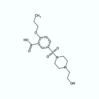 CCCOc1ccc(S(=O)(=O)N2CCN(CCO)CC2)cc1C(=O)O